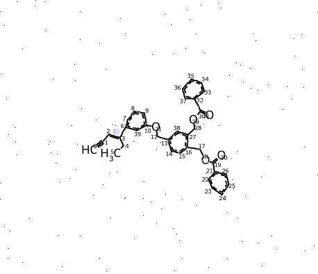 C#C/C=C(\CC)c1cccc(OCc2ccc(COC(=O)c3ccccc3)c(COC(=O)c3ccccc3)c2)c1